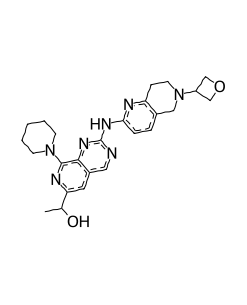 CC(O)c1cc2cnc(Nc3ccc4c(n3)CCN(C3COC3)C4)nc2c(N2CCCCC2)n1